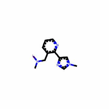 CN(I)Cc1cccnc1-c1cn(C)cn1